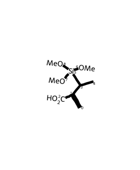 C=C(C(=O)O)C(C)[Si](OC)(OC)OC